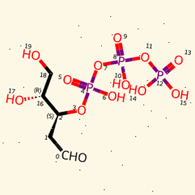 O=CC[C@H](OP(=O)(O)OP(=O)(O)OP(=O)(O)O)[C@H](O)CO